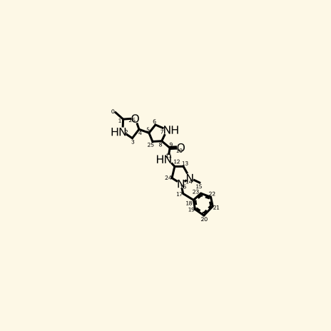 CC1NCC(C2CNC(C(=O)NC3CN(C)N(Cc4ccccc4)C3)C2)O1